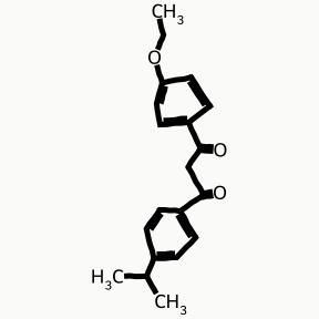 CCOc1ccc(C(=O)CC(=O)c2ccc(C(C)C)cc2)cc1